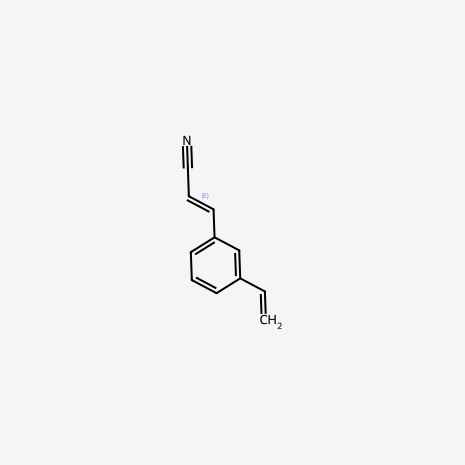 C=Cc1cccc(/C=C/C#N)c1